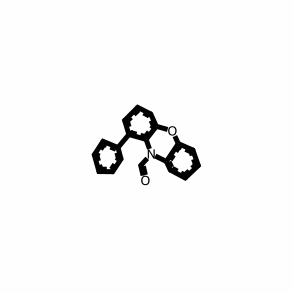 O=CN1c2ccccc2Oc2cccc(-c3ccccc3)c21